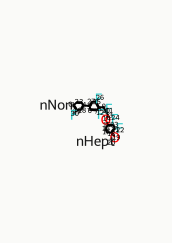 CCCCCCCCCc1ccc(-c2ccc(CC(F)(F)COc3ccc(OCCCCCCC)c(F)c3F)c(F)c2)cc1F